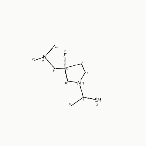 CC(S)N1CCC(F)(CN(C)C)C1